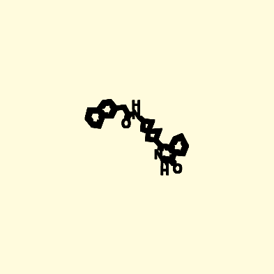 O=C(Cc1ccc2ccccc2c1)NC1CC2(C1)CC(c1n[nH]c(=O)c3ccccc13)C2